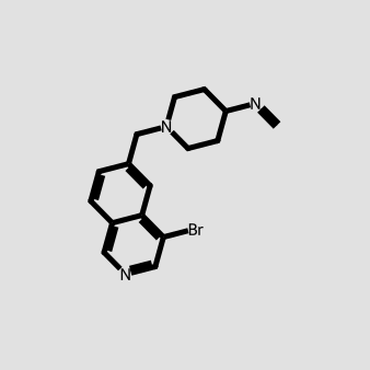 C=NC1CCN(Cc2ccc3cncc(Br)c3c2)CC1